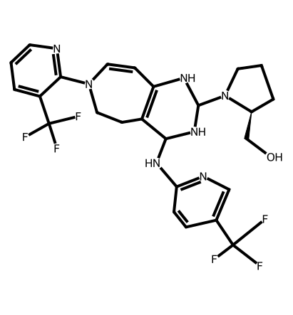 OC[C@@H]1CCCN1C1NC2=C(CCN(c3ncccc3C(F)(F)F)C=C2)C(Nc2ccc(C(F)(F)F)cn2)N1